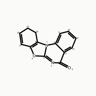 O=c1nc2oc3c(n2c2ccccc12)CCC=C3